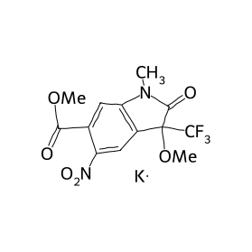 COC(=O)c1cc2c(cc1[N+](=O)[O-])C(OC)(C(F)(F)F)C(=O)N2C.[K]